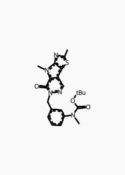 Cc1nc2c(s1)c1cnn(Cc3cccc(N(C)C(=O)OC(C)(C)C)c3)c(=O)c1n2C